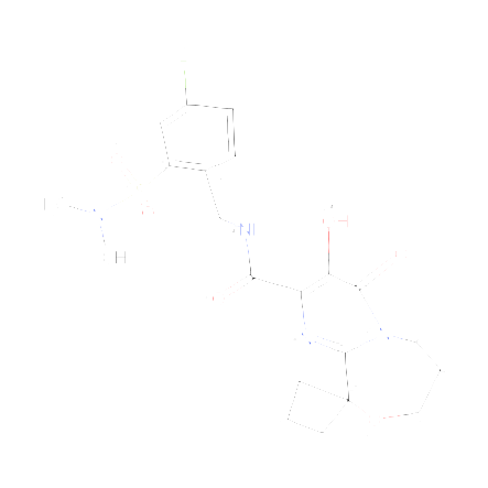 CN(C)S(=O)(=O)c1cc(F)ccc1CNC(=O)c1nc2n(c(=O)c1O)CCCOC21CCC1